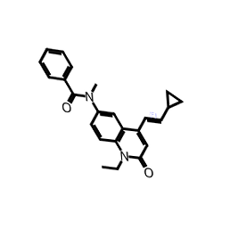 CCn1c(=O)cc(/C=C/C2CC2)c2cc(N(C)C(=O)c3ccccc3)ccc21